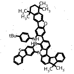 CC(C)(C)c1ccc(Nc2cc3c(cc2-c2ccc4c5c6c(ccc5n5c4c2Bc2cc4sc7ccccc7c4cc2-5)C(C)(C)c2ccccc2-6)oc2cc4c(cc23)C(C)(C)CCC4(C)C)cc1